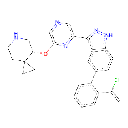 C=C(Cl)c1ccccc1-c1ccc2[nH]nc(-c3cncc(O[C@H]4CNCCC45CC5)n3)c2c1